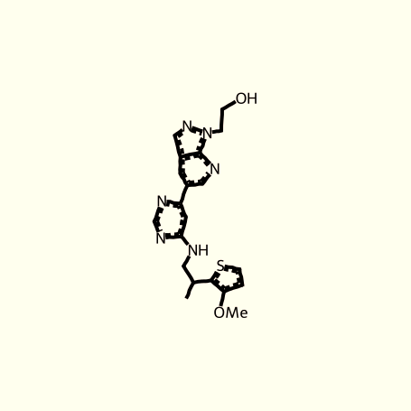 COc1ccsc1C(C)CNc1cc(-c2cnc3c(cnn3CCO)c2)ncn1